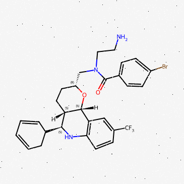 NCCN(C[C@H]1CC[C@@H]2[C@H](O1)c1cc(C(F)(F)F)ccc1N[C@H]2C1C=CC=CC1)C(=O)c1ccc(Br)cc1